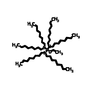 CCCCCCCC[N](CCCCCCCC)[Ti]([O]CC)([N](CCCCCCCC)CCCCCCCC)[N](CCCCCCCC)CCCCCCCC